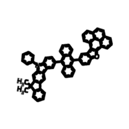 CC1(C)c2ccccc2-c2cc3c4cc(-c5c6ccccc6c(-c6ccc7oc8c9cccc%10ccc%11cccc(c8c7c6)c%11c%109)c6ccccc56)ccc4n(-c4ccccc4)c3cc21